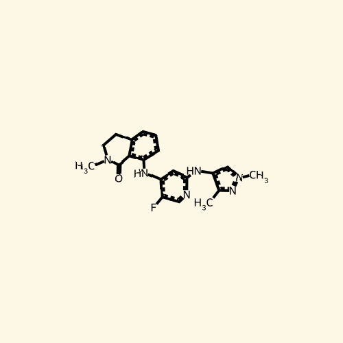 Cc1nn(C)cc1Nc1cc(Nc2cccc3c2C(=O)N(C)CC3)c(F)cn1